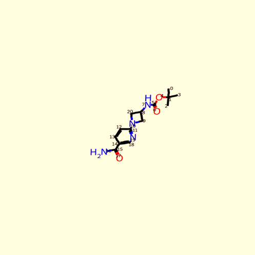 CC(C)(C)OC(=O)NC1CN(c2ccc(C(N)=O)cn2)C1